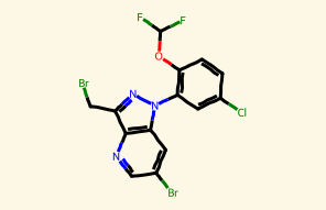 FC(F)Oc1ccc(Cl)cc1-n1nc(CBr)c2ncc(Br)cc21